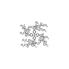 C=CC(=O)CCC(C)(COC(=O)C=C)NC(=O)Oc1ccc(C(c2ccc(OC(=O)NC(C)(CCC(=O)C=C)COC(=O)C=C)cc2)(c2ccc(OC(=O)NC(C)(COC(=O)C=C)COC(=O)C=C)cc2)c2ccc(OC(=O)NC(C)(COC(=O)C=C)COC(=O)C=C)cc2)cc1